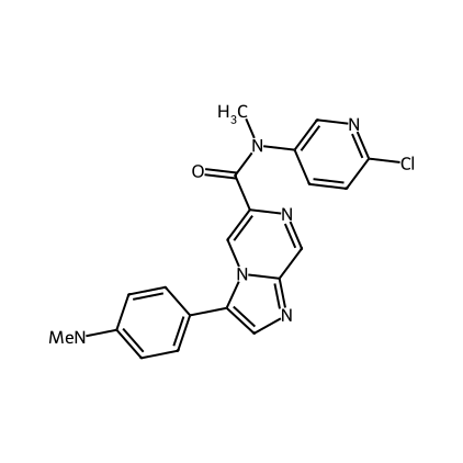 CNc1ccc(-c2cnc3cnc(C(=O)N(C)c4ccc(Cl)nc4)cn23)cc1